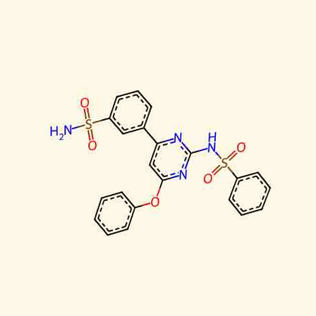 NS(=O)(=O)c1cccc(-c2cc(Oc3ccccc3)nc(NS(=O)(=O)c3ccccc3)n2)c1